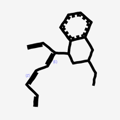 C=C/C=C\C=C(/C=C)C1CC(CC)Cc2ccccc21